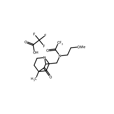 COCCN(CC1C(=O)C2(C)CCN1CC2)C(=O)C(F)(F)F.O=C(O)C(F)(F)F